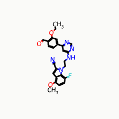 CCOc1cc(-c2cc(NCCn3c(C#N)cc4c(OC)ccc(F)c43)ncn2)ccc1C=O